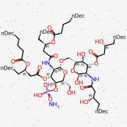 CCCCCCCCCCCCCC(=O)O[C@H](CCCCCCCCCCC)CC(=O)N[C@H]1[C@H](OC[C@H]2O[C@H](O)[C@H](NC(=O)C[C@H](O)CCCCCCCCCCC)[C@@H](OC(=O)C[C@H](O)CCCCCCCCCCC)[C@@H]2O)O[C@H](CO)[C@@H](OP(=O)(O)O)[C@@H]1OC(=O)C[C@@H](CCCCCCCCCCC)OC(=O)CCCCCCCCCCCCC.N